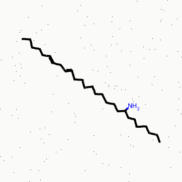 CCCCCC=CCC=CCCCCCCCCCC(N)CCCCCCC